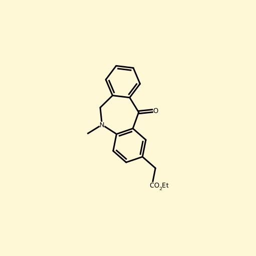 CCOC(=O)Cc1ccc2c(c1)C(=O)c1ccccc1CN2C